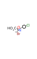 CC(Br)c1nc(-c2ccc(Cl)cc2)oc1C(=O)O